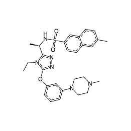 CCn1c(Oc2cccc(N3CCN(C)CC3)c2)nnc1[C@@H](C)NS(=O)(=O)c1ccc2cc(C)ccc2c1